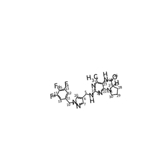 Cc1nc(NCc2cnn(Cc3cc(F)c(F)c(F)c3)c2)nc2c1NC(=O)[C@@H]1CCCN21